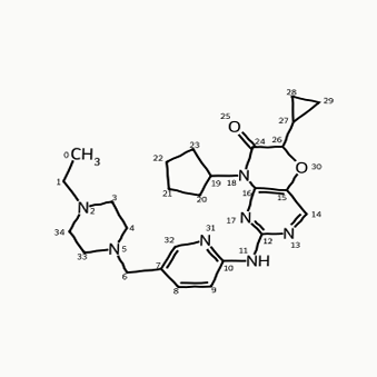 CCN1CCN(Cc2ccc(Nc3ncc4c(n3)N(C3CCCC3)C(=O)C(C3CC3)O4)nc2)CC1